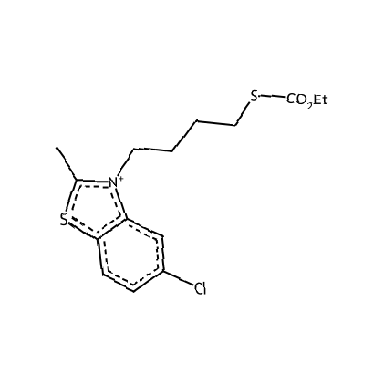 CCOC(=O)SCCCC[n+]1c(C)sc2ccc(Cl)cc21